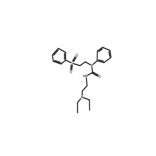 CCN(CC)CCNC(=O)N(CCS(=O)(=O)c1ccccc1)c1ccccc1